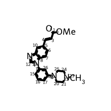 COC(=O)C=Cc1ccc2c(c1)ncn2-c1cccc(N2CCN(C)CC2)c1